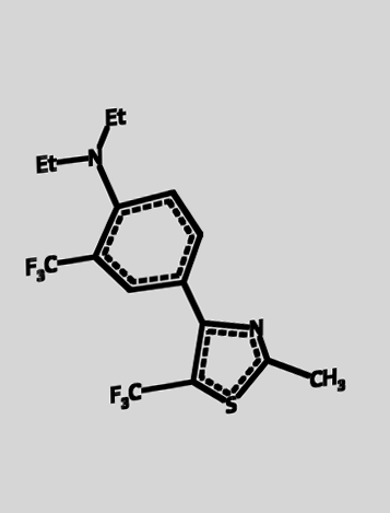 CCN(CC)c1ccc(-c2nc(C)sc2C(F)(F)F)cc1C(F)(F)F